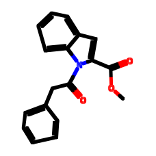 COC(=O)c1cc2ccccc2n1C(=O)Cc1ccccc1